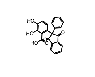 O=C(O)c1c(C2(c3ccccc3)C(=O)c3ccccc3C2=O)ccc(O)c1O